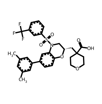 Cc1cc(C)cc(-c2ccc3c(c2)N(S(=O)(=O)c2cccc(C(F)(F)F)c2)C[C@H](CC2(C(=O)O)CCOCC2)O3)c1